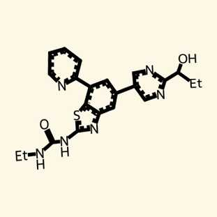 CCNC(=O)Nc1nc2cc(-c3cnc(C(O)CC)nc3)cc(-c3ccccn3)c2s1